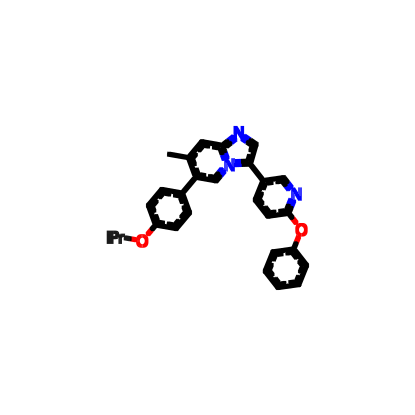 Cc1cc2ncc(-c3ccc(Oc4ccccc4)nc3)n2cc1-c1ccc(OC(C)C)cc1